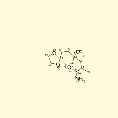 CC(CC1(C(F)(F)F)CCC2(CC1)OCCO2)[S+](N)[O-]